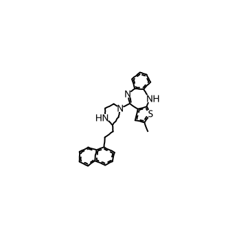 Cc1cc2c(s1)Nc1ccccc1N=C2N1CCNC(CCc2cccc3ccccc23)C1